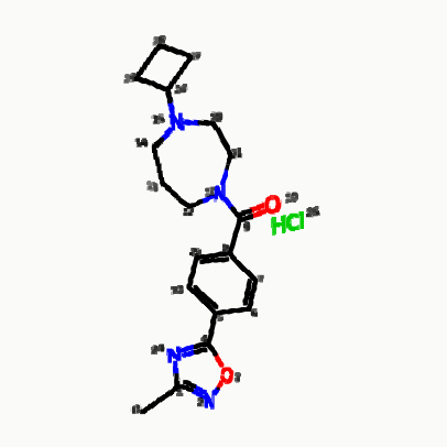 Cc1noc(-c2ccc(C(=O)N3CCCN(C4CCC4)CC3)cc2)n1.Cl